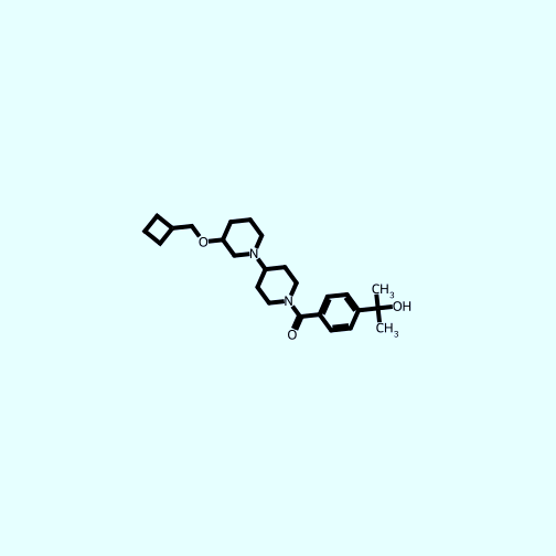 CC(C)(O)c1ccc(C(=O)N2CCC(N3CCCC(OCC4CCC4)C3)CC2)cc1